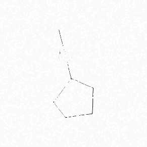 [CH3][Mg][CH]1CCCC1